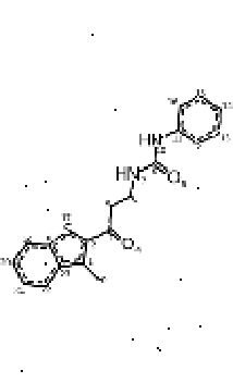 Cc1c(C(=O)CCNC(=O)Nc2ccccc2)sc2ccccc12